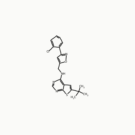 CC(C)(C)c1cc2c(NCc3cc(-c4ccccc4Cl)no3)ncnc2s1